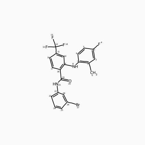 Cc1cc(F)ccc1Nc1cc(C(F)(F)F)ccc1C(=O)Nc1cccc(Br)c1